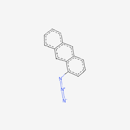 [N-]=[N+]=Nc1cccc2cc3ccccc3cc12